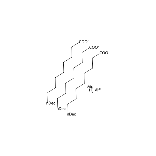 CCCCCCCCCCCCCCCCCC(=O)[O-].CCCCCCCCCCCCCCCCCC(=O)[O-].CCCCCCCCCCCCCCCCCC(=O)[O-].[Al+3].[MgH2]